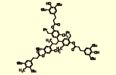 Cc1cc(OC(=O)CCc2cc(C(C)(C)C)c(C)c(C(C)(C)C)c2)c(C(C)(C)C)cc1C(C)CC(c1cc(CC(C)C)c(OC(=O)CCc2cc(C(C)(C)C)c(O)c(C(C)(C)C)c2)cc1C)c1cc(CC(C)C)c(OC(=O)CCc2cc(C(C)(C)C)c(O)c(C(C)(C)C)c2)cc1C